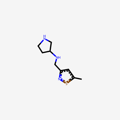 Cc1cc(CNC2CCNC2)ns1